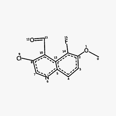 COc1ccc2ncc(Cl)c(C=O)c2c1F